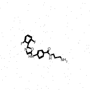 NCCCNC(=O)c1ccc(Nc2cnc(-c3c(F)cccc3F)o2)cc1